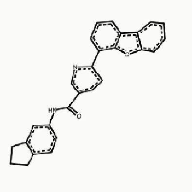 O=C(Nc1ccc2c(c1)CCC2)c1ccc(-c2cccc3c2oc2ccccc23)nc1